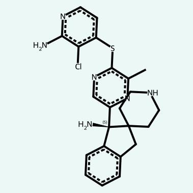 Cc1nc([C@@]2(N)c3ccccc3CC23CCNCC3)cnc1Sc1ccnc(N)c1Cl